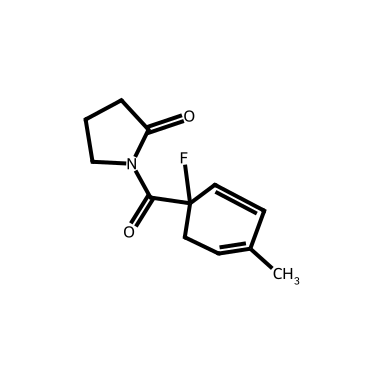 CC1=CCC(F)(C(=O)N2CCCC2=O)C=C1